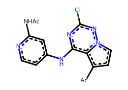 CC(=O)Nc1cc(Nc2nc(Cl)nn3ccc(C(C)=O)c23)ccn1